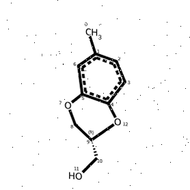 Cc1ccc2c(c1)OC[C@@H](CO)O2